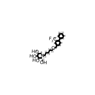 OC[C@@H]1[C@@H](O)[C@H](O)[C@@H](O)CN1CCCCCOCc1ccc(-c2ccccc2)c(C(F)(F)F)c1